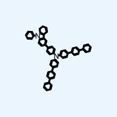 C1=Cc2c(n(-c3ccccc3)c3ccc(-c4ccc(N(c5ccc(-c6ccc(-c7ccccc7)cc6)cc5)c5ccc(-c6ccc(-c7ccccc7)cc6)cc5)cc4)cc23)CC1